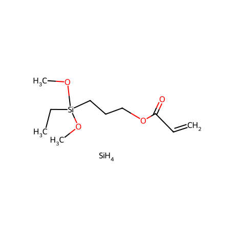 C=CC(=O)OCCC[Si](CC)(OC)OC.[SiH4]